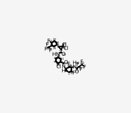 O=C(Nc1ccc(F)c(NC(=O)C(F)(F)C(F)F)c1F)c1cc(NC(=O)[C@H]2[C@H](c3ccc(F)c(C(F)(F)F)c3)C2(Cl)Cl)ccc1Cl